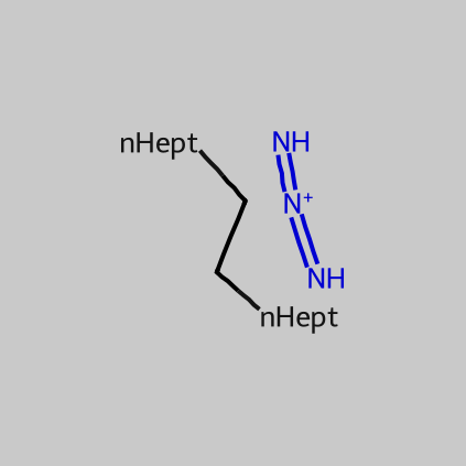 CCCCCCCCCCCCCCCC.N=[N+]=N